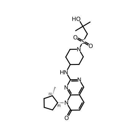 C[C@H]1CCC[C@H]1n1c(=O)ccc2cnc(NC3CCN(S(=O)(=O)CC(C)(C)O)CC3)nc21